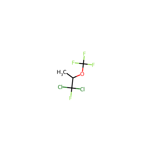 CC(OC(F)(F)F)C(F)(Cl)Cl